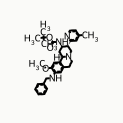 COc1cc2c(cc1NCc1ccccc1)CCN1C[C@@H](c3cc(C)ccn3)[C@H](NC(=O)OC(C)(C)C)C[C@H]21